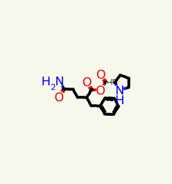 NC(=O)CCC(Cc1ccccc1)C(=O)OC(=O)[C@@H]1CCCN1